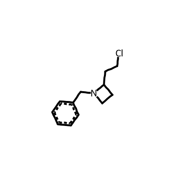 ClCCC1CCN1Cc1ccccc1